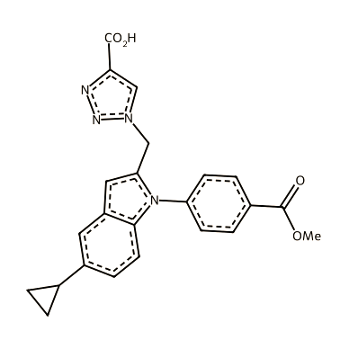 COC(=O)c1ccc(-n2c(Cn3cc(C(=O)O)nn3)cc3cc(C4CC4)ccc32)cc1